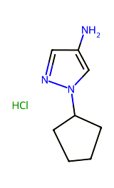 Cl.Nc1cnn(C2CCCC2)c1